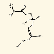 CC(=CCC(C)(C)OCC(=O)N(C)C)COC(C)(C)C